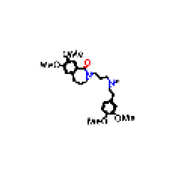 COc1ccc(CCN(C)CCCN2CCCc3cc(OC)c(OC)cc3C2=O)cc1OC